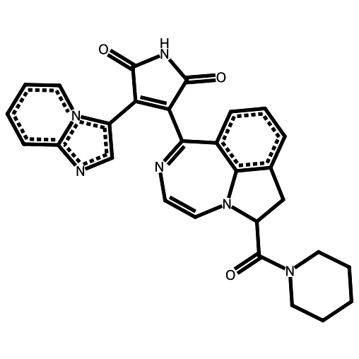 O=C1NC(=O)C(c2cnc3ccccn23)=C1C1=NC=CN2c3c(cccc31)CC2C(=O)N1CCCCC1